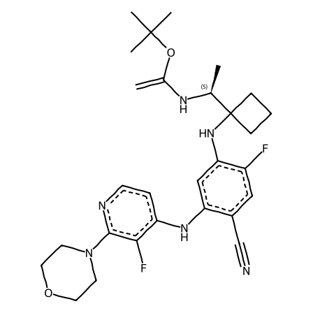 C=C(N[C@@H](C)C1(Nc2cc(Nc3ccnc(N4CCOCC4)c3F)c(C#N)cc2F)CCC1)OC(C)(C)C